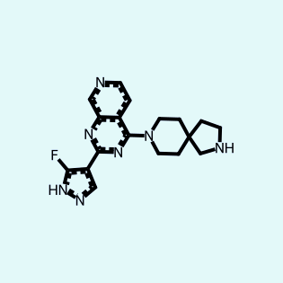 Fc1[nH]ncc1-c1nc(N2CCC3(CCNC3)CC2)c2ccncc2n1